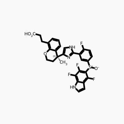 C[C@]1(c2c[nH]c(-c3cc([S+]([O-])c4c(F)c(F)c5[nH]ccc5c4F)ccc3F)n2)CCOc2c(CCC(=O)O)cccc21